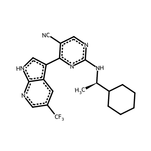 C[C@@H](Nc1ncc(C#N)c(-c2c[nH]c3ncc(C(F)(F)F)cc23)n1)C1CCCCC1